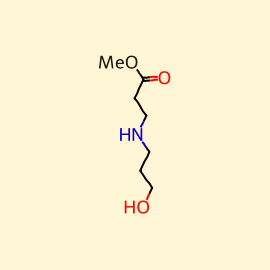 COC(=O)CCNCCCO